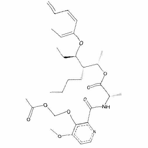 C=C/C=C\C(=C/C)O[C@H](CC)[C@@H](CCCC)[C@H](C)OC(=O)[C@H](C)NC(=O)c1nccc(OC)c1OCOC(C)=O